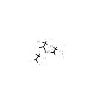 CCCCCCCCC(S)C(S)(S)C(=O)[O-].CCCCCCCCC(S)C(S)(S)C(=O)[O-].CCCCCCCCC(S)C(S)(S)C(=O)[O-].[Bi+3]